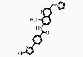 Cc1c(NC(=O)c2ccc(-c3ccc(Cl)s3)cc2)ccc2cc(Cn3cccc3)cnc12